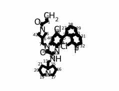 C=CC(=O)N1CC(Cn2c(=O)c(NCC34CCCN3CCC4)nc3cc(-c4cccc5ccc(F)c(Cl)c45)c(Cl)cc32)C1